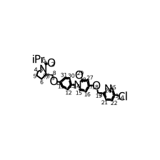 CC(C)C(=O)N1CCC[C@@H]1COc1ccc(-n2ccc(OCc3ccc(Cl)cn3)cc2=O)cc1